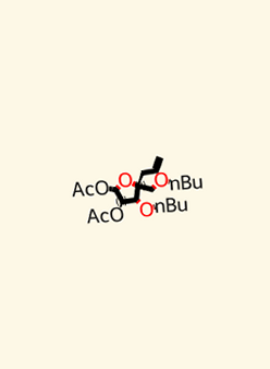 C=CC[C@]1(COCCCC)OC(OC(C)=O)[C@@H](OC(C)=O)C1OCCCC